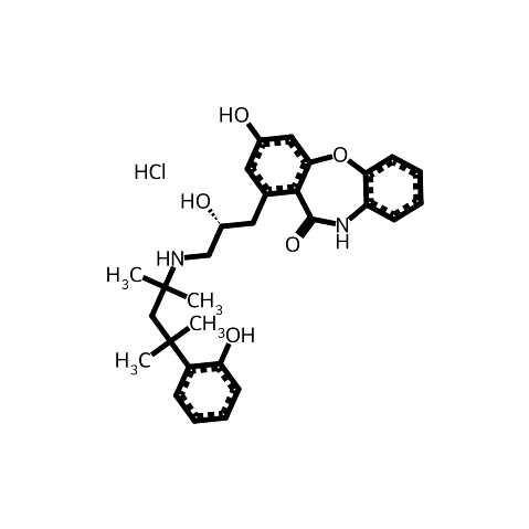 CC(C)(CC(C)(C)c1ccccc1O)NC[C@H](O)Cc1cc(O)cc2c1C(=O)Nc1ccccc1O2.Cl